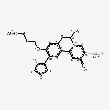 COCCCOc1cc2c(cc1-c1cscn1)-c1cc(=O)c(C(=O)O)cn1C(C(C)C)C2